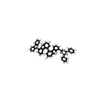 c1ccc(-c2nc(-c3ccccc3)nc(-c3cccc4c3oc3cccc(-c5cccc6sc7c(-n8c9ccccc9c9ccccc98)cccc7c56)c34)n2)cc1